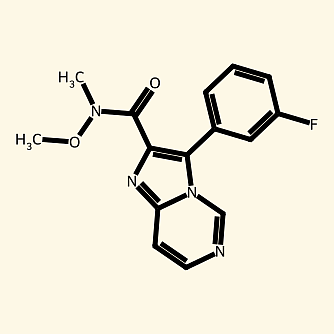 CON(C)C(=O)c1nc2ccncn2c1-c1cccc(F)c1